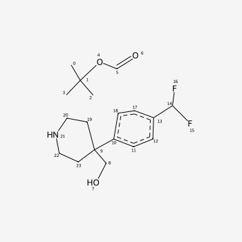 CC(C)(C)OC=O.OCC1(c2ccc(C(F)F)cc2)CCNCC1